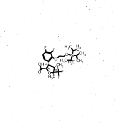 CC(C)[Si](OCCOc1c([C@H]2[C@H](C(=O)O)O[C@@](C)(C(F)(F)F)[C@H]2C)ccc(F)c1F)(C(C)C)C(C)C